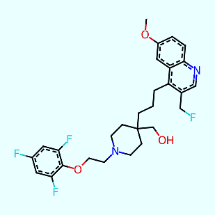 COc1ccc2ncc(CF)c(CCCC3(CO)CCN(CCOc4c(F)cc(F)cc4F)CC3)c2c1